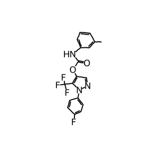 Cc1cccc(NC(=O)Oc2cnn(-c3ccc(F)cc3)c2C(F)(F)F)c1